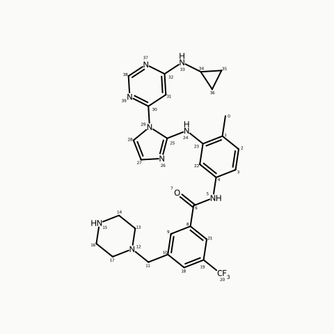 Cc1ccc(NC(=O)c2cc(CN3CCNCC3)cc(C(F)(F)F)c2)cc1Nc1nccn1-c1cc(NC2CC2)ncn1